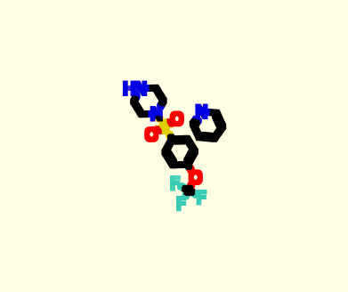 O=S(=O)(c1ccc(OC(F)(F)F)cc1)N1CCNCC1.c1ccncc1